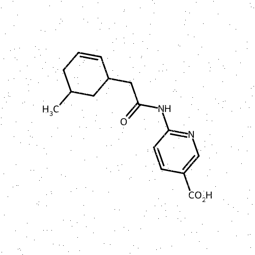 CC1CC=CC(CC(=O)Nc2ccc(C(=O)O)cn2)C1